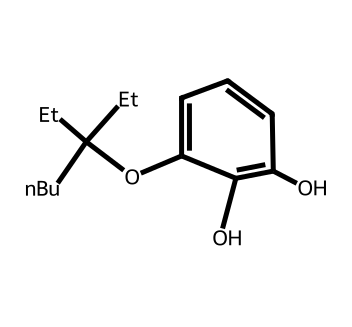 CCCCC(CC)(CC)Oc1cccc(O)c1O